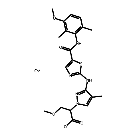 COCC(C(=O)[O-])n1cc(C)c(Nc2ncc(C(=O)Nc3c(C)ccc(OC)c3C)s2)n1.[Cs+]